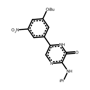 CC(C)COc1cc(-c2cnc(NC(C)C)c(=O)[nH]2)cc([N+](=O)[O-])c1